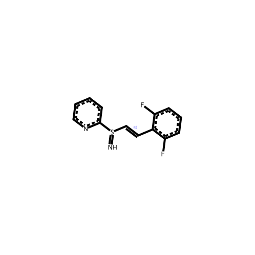 N=S(/C=C/c1c(F)cccc1F)c1ccccn1